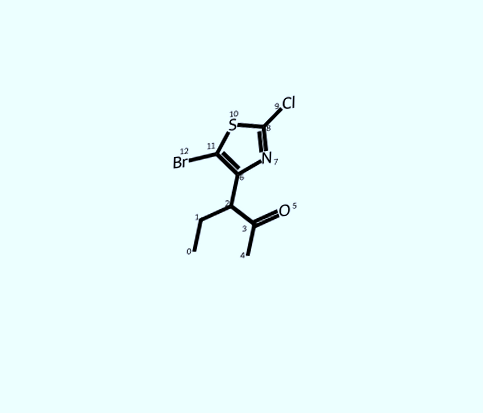 CCC(C(C)=O)c1nc(Cl)sc1Br